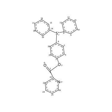 O=C(Oc1ccc([S+](c2ccccc2)c2ccccc2)cc1)c1ccccn1